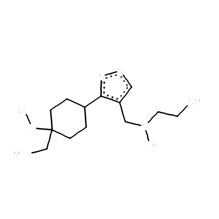 CCOC1(COC)CCC(c2n[nH]cc2CN(C)CCNC)CC1